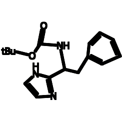 CC(C)(C)OC(=O)NC(Cc1ccccc1)c1ncc[nH]1